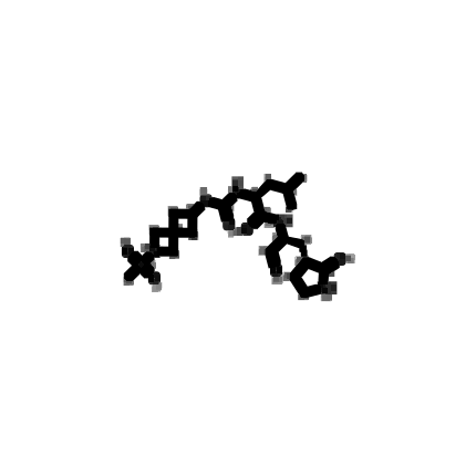 CC(C)C[C@H](NC(=O)OC1CC2(C1)CN(S(C)(=O)=O)C2)C(=O)N[C@H](C=O)C[C@H]1CCNC1=O